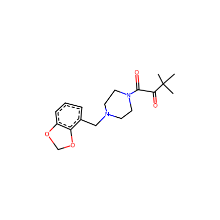 CC(C)(C)C(=O)C(=O)N1CCN(Cc2cccc3c2OCO3)CC1